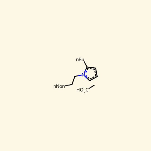 CC(=O)O.CCCCCCCCCCCn1cccc1CCCC